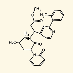 COC(=O)CC(NC(=O)C(CC(C)C)n1ccccc1=O)c1ccnc(-c2ccccc2C)c1